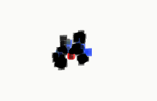 C[C@@H](CNC(=O)c1cc(NC2CCC2)nc(N2CCCCC2)c1)CN1CCc2ccccc2C1